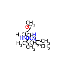 C=C/C=C\C(=C/C=C)N/C(C)=N/C(NC(C)(C)CCC1CCC(C)O1)=C(/C)C=C